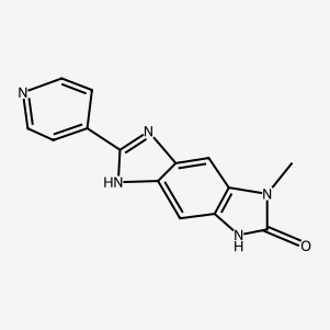 Cn1c(=O)[nH]c2cc3[nH]c(-c4ccncc4)nc3cc21